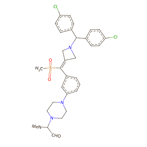 CNC(C=O)N1CCN(c2cccc(C(=C3CN(C(c4ccc(Cl)cc4)c4ccc(Cl)cc4)C3)S(C)(=O)=O)c2)CC1